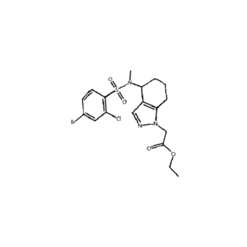 CCOC(=O)Cn1ncc2c1CCCC2N(C)S(=O)(=O)c1ccc(Br)cc1Cl